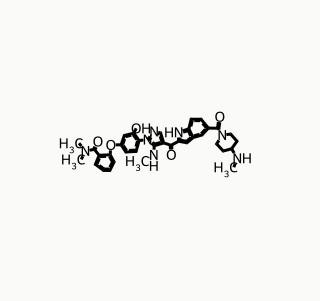 CNc1c(C(=O)c2cc3cc(C(=O)N4CCC(NC)CC4)ccc3[nH]2)cnn1-c1ccc(Oc2ccccc2C(=O)N(C)C)cc1O